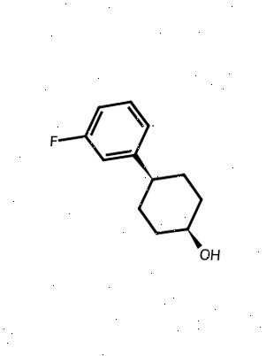 O[C@H]1CC[C@@H](c2[c]ccc(F)c2)CC1